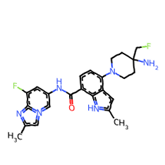 Cc1cn2cc(NC(=O)c3ccc(N4CCC(N)(CF)CC4)c4cc(C)[nH]c34)cc(F)c2n1